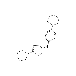 c1cc(C2CCCCC2)ccc1[I+]c1ccc(C2CCCCC2)cc1